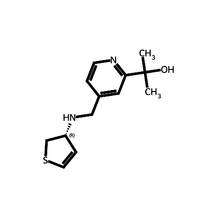 CC(C)(O)c1cc(CN[C@@H]2C=CSC2)ccn1